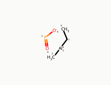 C[CH2][Al+][CH3].O=P[O-]